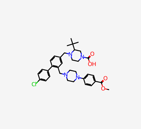 COC(=O)c1ccc(N2CCN(Cc3cc(CN4CCN(C(=O)O)CC4C(C)(C)C)ccc3-c3ccc(Cl)cc3)CC2)cc1